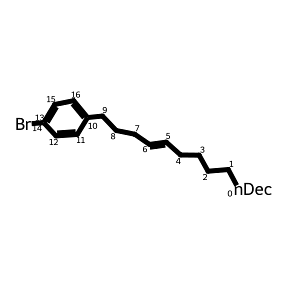 CCCCCCCCCCCCCCC=CCCCc1ccc(Br)cc1